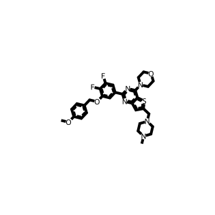 COc1ccc(COc2cc(-c3nc(N4CCOCC4)c4sc(CN5CCN(C)CC5)cc4n3)cc(F)c2F)cc1